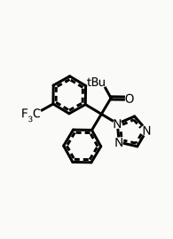 CC(C)(C)C(=O)C(c1ccccc1)(c1cccc(C(F)(F)F)c1)n1cncn1